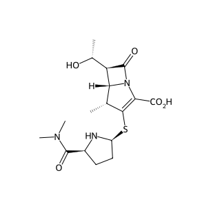 C[C@@H](O)[C@H]1C(=O)N2C(C(=O)O)=C(S[C@H]3CC[C@@H](C(=O)N(C)C)N3)[C@H](C)[C@H]12